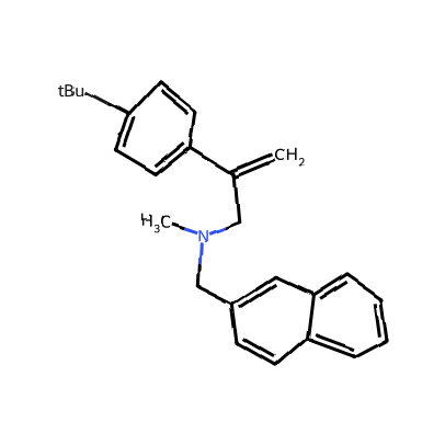 C=C(CN(C)Cc1ccc2ccccc2c1)c1ccc(C(C)(C)C)cc1